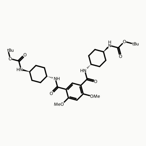 COc1cc(OC)c(C(=O)N[C@H]2CC[C@H](NC(=O)OC(C)(C)C)CC2)cc1C(=O)N[C@H]1CC[C@H](NC(=O)OC(C)(C)C)CC1